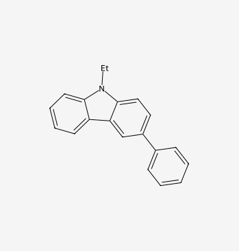 CCn1c2ccccc2c2cc(-c3ccccc3)ccc21